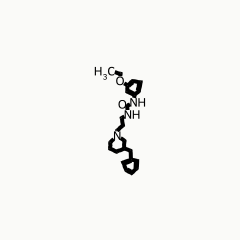 CCOc1cccc(NC(=O)NCCCN2CCCC(Cc3ccccc3)C2)c1